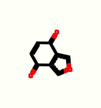 O=C1C=CC(=O)c2cocc21